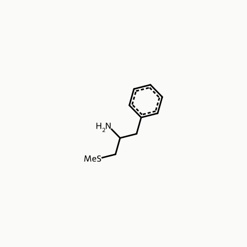 CSCC(N)Cc1ccccc1